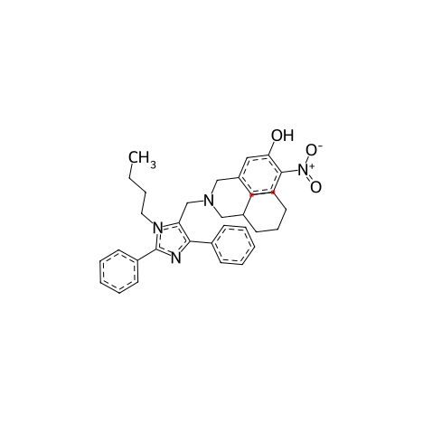 CCCCn1c(-c2ccccc2)nc(-c2ccccc2)c1CN(Cc1ccc([N+](=O)[O-])c(O)c1)CC1CCCCC1